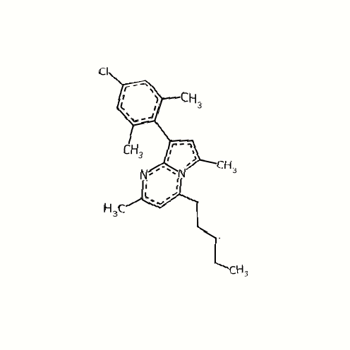 CC[CH]CCc1cc(C)nc2c(-c3c(C)cc(Cl)cc3C)cc(C)n12